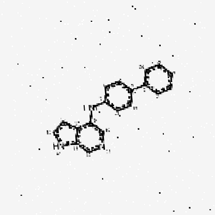 c1ccc(-c2ccc(Nc3cncc4[nH]ccc34)cc2)cc1